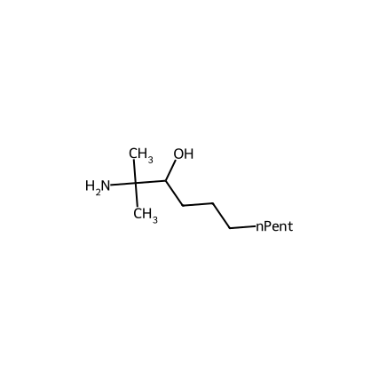 CCCCCCCCC(O)C(C)(C)N